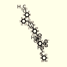 CCOc1cccc(-c2ccccc2CN2CCN(c3ccc(C(=O)NS(=O)(=O)c4ccc(NCCSc5ccccc5)c([N+](=O)[O-])c4)cc3)CC2)c1